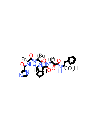 CCCC(NC(=O)C1[C@H]2CCC[C@H]2CN1C(=O)C(NC(=O)[C@H](NC(=O)c1cnccn1)C(C)C)C(C)(C)C)C(=O)C(=O)N[C@@H](Cc1ccccc1)C(=O)O